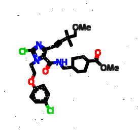 COCC(C)(C)C#Cc1nc(Cl)n(CCOc2ccc(Cl)cc2)c1C(=O)NCC1CCC(C(=O)OC)CC1